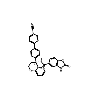 N#Cc1ccc(-c2ccc([C@]3(NC(=O)c4ccc5oc(=O)[nH]c5c4)CCOc4cccnc43)cc2)cc1